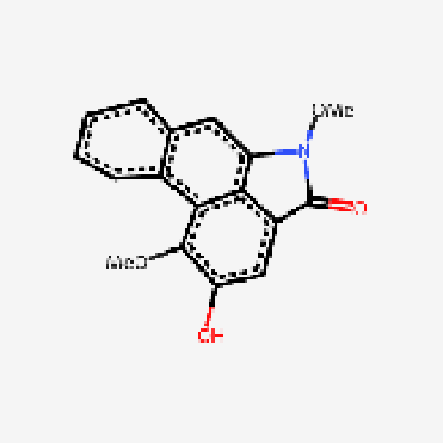 COc1c(O)cc2c3c(cc4ccccc4c13)N(OC)C2=O